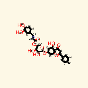 Cc1ccc(-c2cc(=O)c3c(O)cc(OC4OCC(OC(=O)/C=C/c5ccc(O)c(O)c5)C(O)C4O)cc3o2)cc1